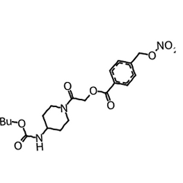 CC(C)(C)OC(=O)NC1CCN(C(=O)COC(=O)c2ccc(CO[N+](=O)[O-])cc2)CC1